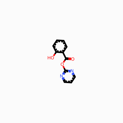 O=C(Oc1ncccn1)c1ccccc1O